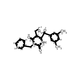 CCc1c(C(=O)c2cc(C)cc(C)c2)[nH]c(=O)n(Cc2cccnc2)c1=O